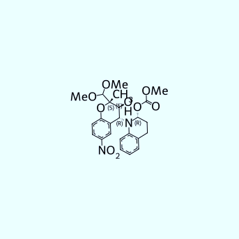 COC(=O)O[C@@H]1CCc2ccccc2N1[C@@H]1c2cc([N+](=O)[O-])ccc2O[C@](C)(C(OC)OC)[C@H]1O